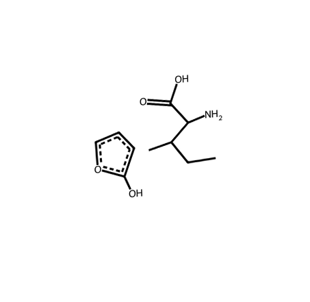 CCC(C)C(N)C(=O)O.Oc1ccco1